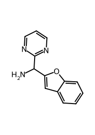 NC(c1ncccn1)c1cc2ccccc2o1